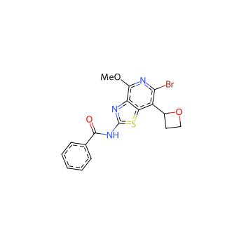 COc1nc(Br)c(C2CCO2)c2sc(NC(=O)c3ccccc3)nc12